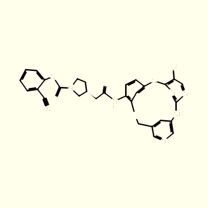 N#Cc1ccccc1NC(=O)N1CC[C@@H](CC(=O)Nc2ccc3cc2CCc2cncc(c2)Nc2ncc(Cl)c(n2)N3)C1